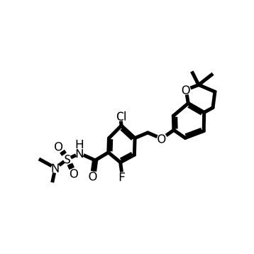 CN(C)S(=O)(=O)NC(=O)c1cc(Cl)c(COc2ccc3c(c2)OC(C)(C)CC3)cc1F